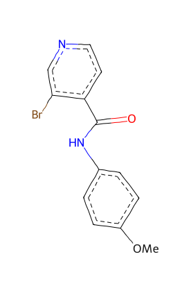 COc1ccc(NC(=O)c2ccncc2Br)cc1